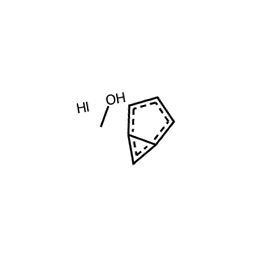 CO.I.c1cc2cc-2c1